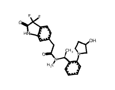 C[C@@H](c1ccccc1N1CCC(O)C1)N(C)C(=O)Cc1ccc2c(c1)NC(=O)C2(F)F